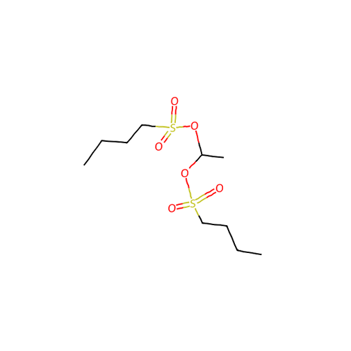 CCCCS(=O)(=O)OC(C)OS(=O)(=O)CCCC